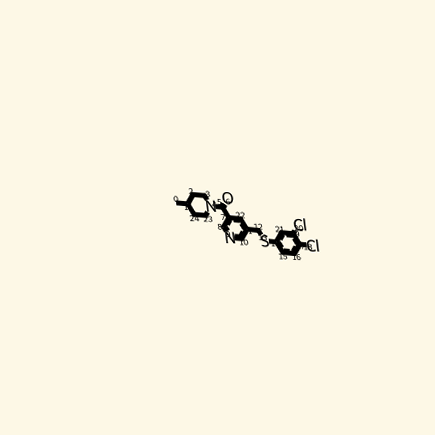 CC1CCN(C(=O)c2cncc(CSc3ccc(Cl)c(Cl)c3)c2)CC1